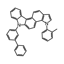 Cc1ccccc1-n1ccc2ccc3c(ccc4c3c3ccccc3n4-c3cccc(-c4ccccc4)c3)c21